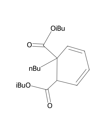 CCCCC1(C(=O)OCC(C)C)C=CC=CC1C(=O)OCC(C)C